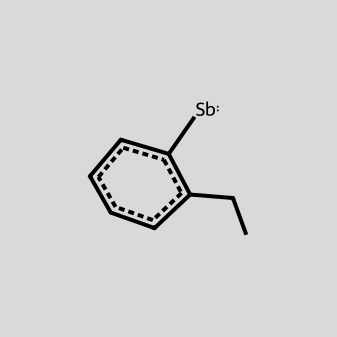 CCc1cccc[c]1[Sb]